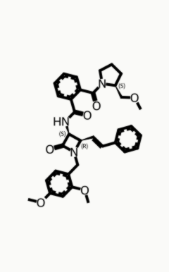 COC[C@@H]1CCCN1C(=O)c1ccccc1C(=O)N[C@@H]1C(=O)N(Cc2ccc(OC)cc2OC)[C@@H]1C=Cc1ccccc1